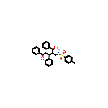 Cc1ccc(S(=O)(=O)NCC(C(=O)c2ccccc2)C(CC(=O)c2ccccc2)c2ccccc2)cc1